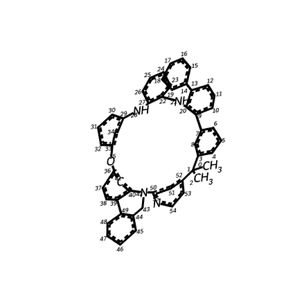 CC1(C)c2cccc(c2)-c2cccc(-c3ccccc3)c2Nc2ccccc2Nc2cccc(c2)Oc2ccc3c(c2)N(Cc2ccccc2-3)c2cc1ccn2